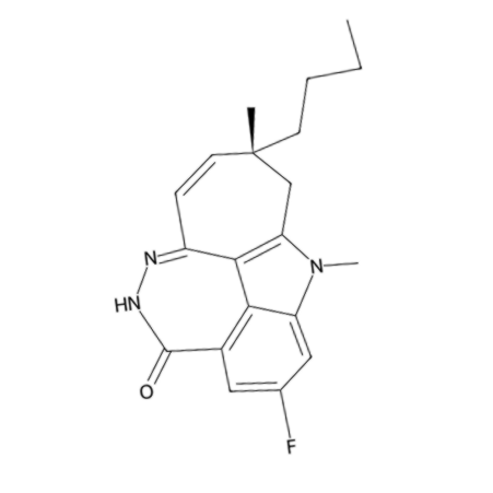 CCCC[C@@]1(C)C=CC2=NNC(=O)c3cc(F)cc4c3c2c(n4C)C1